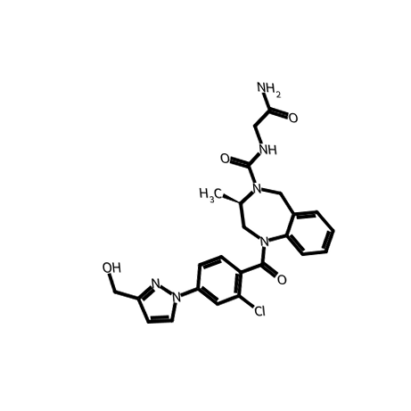 C[C@@H]1CN(C(=O)c2ccc(-n3ccc(CO)n3)cc2Cl)c2ccccc2CN1C(=O)NCC(N)=O